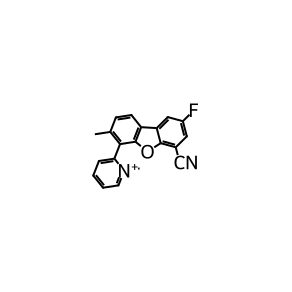 Cc1ccc2c(oc3c(C#N)cc(F)cc32)c1-c1cccc[n+]1C